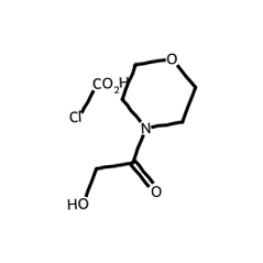 O=C(CO)N1CCOCC1.O=C(O)Cl